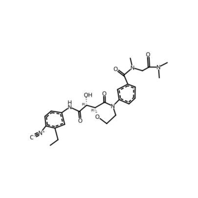 [C-]#[N+]c1ccc(NC(=O)[C@H](O)[C@H]2OCCN(c3cccc(C(=O)N(C)CC(=O)N(C)C)c3)C2=O)cc1CC